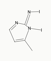 Cc1ccn/c(=N/I)n1I